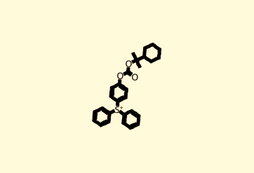 CC(C)(OC(=O)Oc1ccc([S+](c2ccccc2)c2ccccc2)cc1)C1CCCCC1